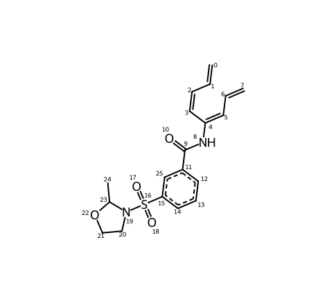 C=C/C=C\C(=C/C=C)NC(=O)c1cccc(S(=O)(=O)N2CCOC2C)c1